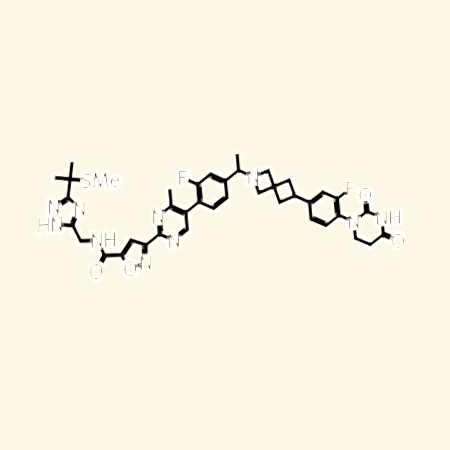 CSC(C)(C)c1n[nH]c(CNC(=O)c2cc(-c3ncc(-c4ccc(C(C)N5CC6(CC(c7ccc(N8CCC(=O)NC8=O)c(F)c7)C6)C5)cc4F)c(C)n3)no2)n1